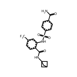 NC(=O)c1ccc(S(=O)(=O)Nc2cc(C(F)(F)F)ccc2C(=O)NC23CC(C2)C3)cc1